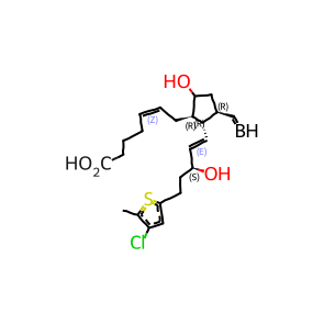 B=C[C@@H]1CC(O)[C@H](C/C=C\CCCC(=O)O)[C@H]1/C=C/[C@@H](O)CCc1cc(Cl)c(C)s1